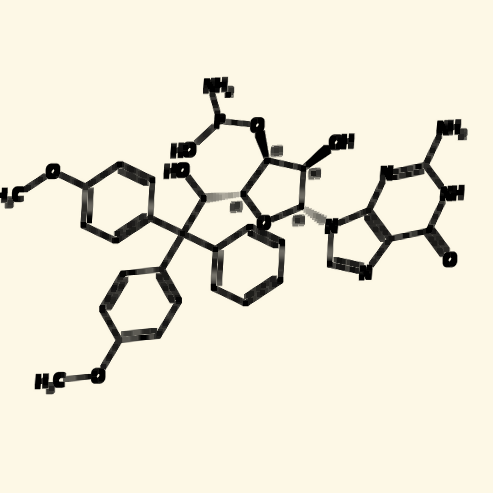 COc1ccc(C(c2ccccc2)(c2ccc(OC)cc2)C(O)[C@H]2O[C@@H](n3cnc4c(=O)[nH]c(N)nc43)[C@H](O)[C@@H]2OP(N)O)cc1